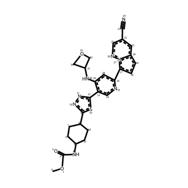 COC(=O)NC1CCC(c2nnc(-c3cnc(-c4ccc5cc(C#N)cnn45)cc3NC3COC3)s2)CC1